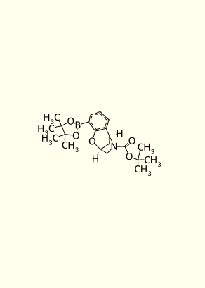 CC(C)(C)OC(=O)N1C[C@@H]2C[C@H]1c1cccc(B3OC(C)(C)C(C)(C)O3)c1O2